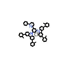 Cc1ccccc1-c1ccc2c(c1)c1cc(-c3ccccc3C)ccc1n2-c1cc(-c2cccc(-c3ccccc3)n2)cc(-n2c3ccc(-c4ccccc4C)cc3c3cc(-c4ccccc4C)ccc32)c1C(F)(F)F